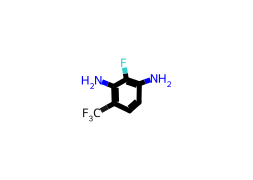 Nc1ccc(C(F)(F)F)c(N)c1F